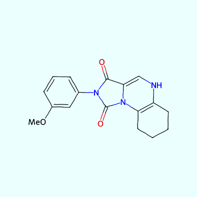 COc1cccc(-n2c(=O)c3c[nH]c4c(n-3c2=O)CCCC4)c1